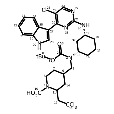 CC(C)(C)OC(=O)N(CC1CCN(C(=O)O)C(CC(Cl)(Cl)Cl)C1)[C@H]1CCC[C@@H](Nc2ncc(Cl)c(-c3c[nH]c4ccccc34)n2)C1